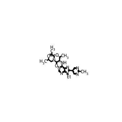 CCn1c(-c2cnc(C)nc2)nc2c(N[C@H](C(=O)N3CC(C)OC(C)C3)[C@@H](C)OC)ncnc21